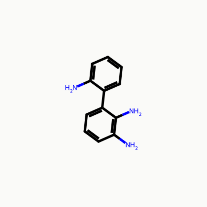 Nc1ccccc1-c1cccc(N)c1N